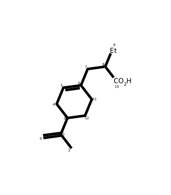 C=C(C)C1CC=C(CC(CC)C(=O)O)CC1